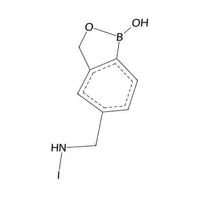 OB1OCc2cc(CNI)ccc21